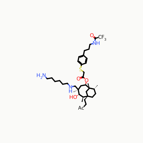 CC(=O)CC[C@]12CC[C@@H](C)[C@](C)(C1)[C@H](OC(=O)CSc1ccc(CCCNC(=O)C(F)(F)F)cc1)C[C@](C)(CNCCCCCCN)[C@@H](O)[C@@H]2C